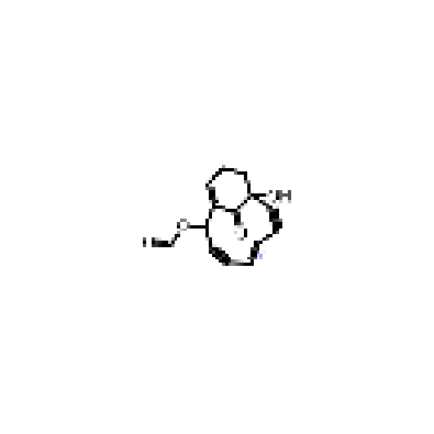 O=COC1C#C/C=C/C#CC2(O)CCC=C1C2=O